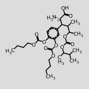 CCCCOC(=O)Oc1ccc(C(C(C)C(C)OC(=O)OC(C)C(C)C)[C@H](N)C(=O)O)cc1OC(=O)OCCCC